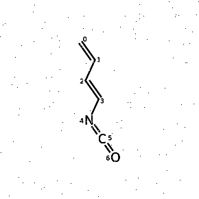 C=CC=CN=C=O